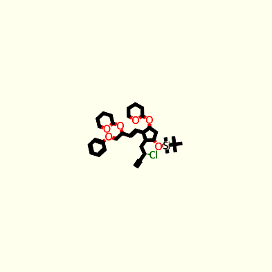 C#C[C@@H](Cl)CC1C(O[Si](C)(C)C(C)(C)C)CC(OC2CCCCO2)C1C=CC(COc1ccccc1)OC1CCCCO1